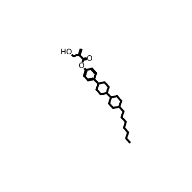 C=C(CO)C(=O)Oc1ccc(C2CCC(C3CCC(CCCCCCC)CC3)CC2)cc1